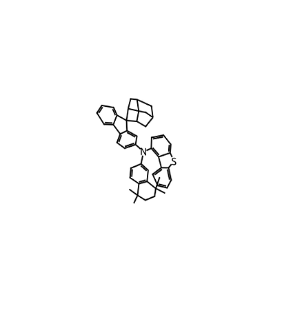 CC1(C)CCC(C)(C)c2cc(N(c3ccc4c(c3)C3(c5ccccc5-4)C4CC5CC6CC3C64C5)c3cccc4sc5ccccc5c34)ccc21